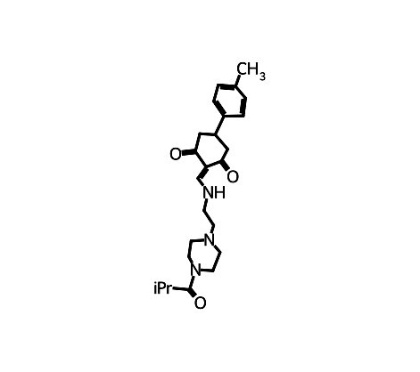 Cc1ccc(C2CC(=O)C(=CNCCN3CCN(C(=O)C(C)C)CC3)C(=O)C2)cc1